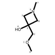 COCC1(O)CN(C)C1